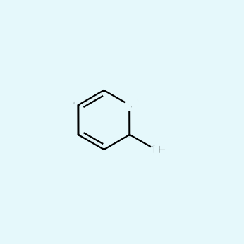 PC1C=CC=CS1